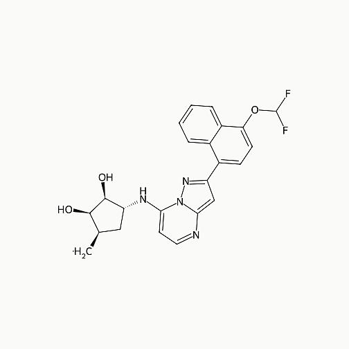 [CH2][C@@H]1C[C@@H](Nc2ccnc3cc(-c4ccc(OC(F)F)c5ccccc45)nn23)[C@H](O)[C@@H]1O